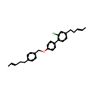 C/C=C/CCc1ccc(COc2ccc(-c3ccc(CC/C=C/C)cc3F)cc2)cc1